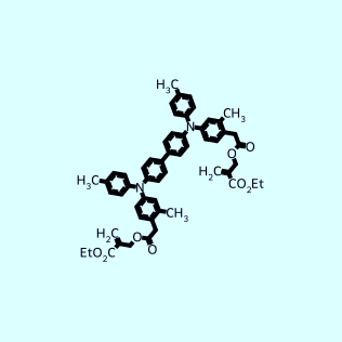 C=C(COC(=O)Cc1ccc(N(c2ccc(C)cc2)c2ccc(-c3ccc(N(c4ccc(C)cc4)c4ccc(CC(=O)OCC(=C)C(=O)OCC)c(C)c4)cc3)cc2)cc1C)C(=O)OCC